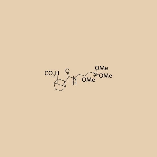 CO[Si](CCCNC(=O)C1C2CCC(CC2)C1C(=O)O)(OC)OC